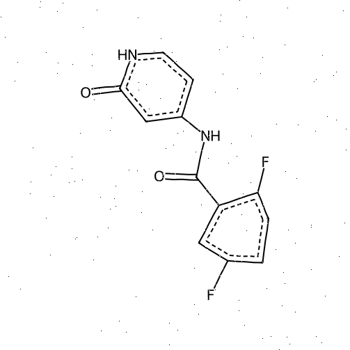 O=C(Nc1cc[nH]c(=O)c1)c1cc(F)ccc1F